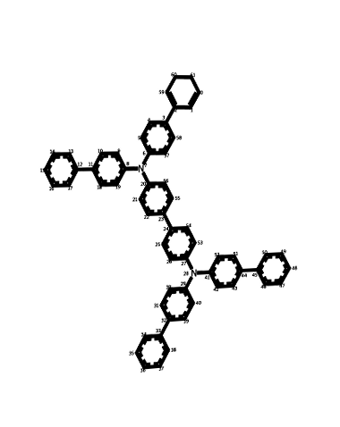 C1=CC(c2ccc(N(c3ccc(-c4ccccc4)cc3)c3ccc(-c4ccc(N(c5ccc(-c6ccccc6)cc5)c5ccc(-c6ccccc6)cc5)cc4)cc3)cc2)=CCC1